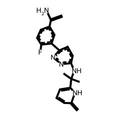 C=C1C=CC=C(C(C)(C)Nc2ccc(-c3cc(C(=C)N)ccc3F)nn2)N1